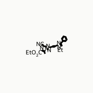 CCOC(=O)c1nc(C#N)c2nc(C#Cc3nc(-c4ccccc4)cn3CC)nn2c1C